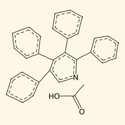 CC(=O)O.c1ccc(-c2cnc(-c3ccccc3)c(-c3ccccc3)c2-c2ccccc2)cc1